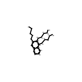 CCCCCc1cc2ccccc2c(CCCCC)c1CCCCC